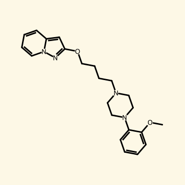 COc1ccccc1N1CCN(CCCCOc2cc3ccccn3n2)CC1